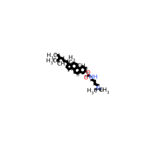 CCC(CCCC1CCC2C3CC=C4CC(OC(=O)NCCCCN(C)C)CCC4(C)C3CCC12C)C(C)C